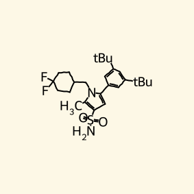 Cc1c(S(N)(=O)=O)cc(-c2cc(C(C)(C)C)cc(C(C)(C)C)c2)n1CC1CCC(F)(F)CC1